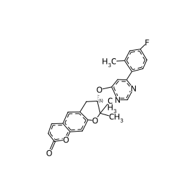 Cc1cc(F)ccc1-c1cc(O[C@H]2Cc3cc4ccc(=O)oc4cc3OC2(C)C)ncn1